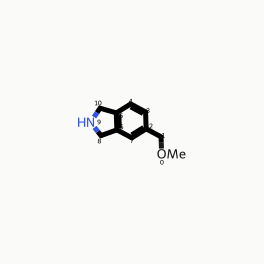 COCc1ccc2c(c1)CNC2